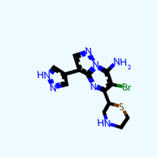 Nc1c(Br)c(C2CNCCS2)nc2c(-c3cn[nH]c3)cnn12